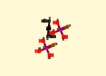 CCCCCCCC[CH2][Zn][CH2]CCCCCCCC.OP(O)(O)=S.OP(O)(O)=S